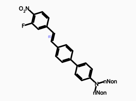 CCCCCCCCCN(CCCCCCCCC)c1ccc(-c2ccc(/C=C/c3ccc([N+](=O)[O-])c(F)c3)cc2)cc1